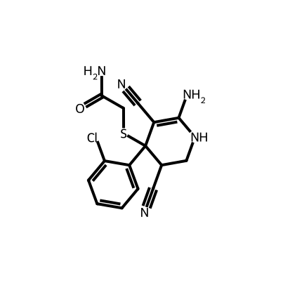 N#CC1=C(N)NCC(C#N)C1(SCC(N)=O)c1ccccc1Cl